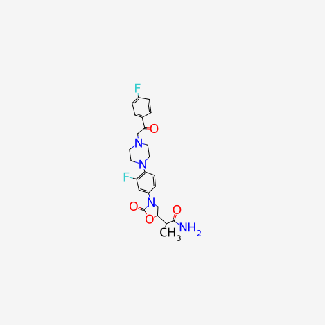 CC(C(N)=O)C1CN(c2ccc(N3CCN(CC(=O)c4ccc(F)cc4)CC3)c(F)c2)C(=O)O1